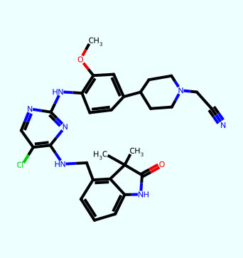 COc1cc(C2CCN(CC#N)CC2)ccc1Nc1ncc(Cl)c(NCc2cccc3c2C(C)(C)C(=O)N3)n1